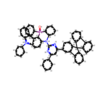 O=P1(c2ccccc2)c2ccccc2N(c2nc(-c3ccccc3)cc(-c3ccc4c(c3)-c3ccccc3C43c4ccccc4-c4ccccc43)n2)c2ccc3c(c21)c1ccccc1n3-c1ccccc1